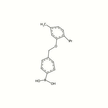 Cc1ccc(C(C)C)c(OCc2ccc(B(O)O)cc2)c1